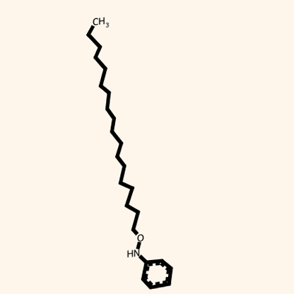 CCCCCCCCCCCCCCCCCCONc1ccccc1